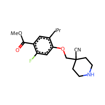 COC(=O)c1cc(C(C)C)c(OCC2(C#N)CCNCC2)cc1F